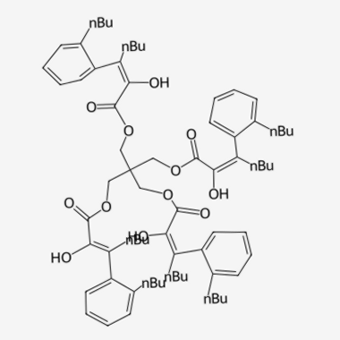 CCCCC(=C(O)C(=O)OCC(COC(=O)C(O)=C(CCCC)c1ccccc1CCCC)(COC(=O)C(O)=C(CCCC)c1ccccc1CCCC)COC(=O)C(O)=C(CCCC)c1ccccc1CCCC)c1ccccc1CCCC